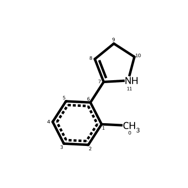 Cc1ccccc1C1=CCCN1